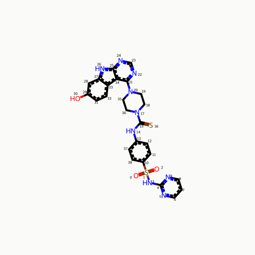 O=S(=O)(Nc1ncccn1)c1ccc(NC(=S)N2CCN(c3ncnc4[nH]c5cc(O)ccc5c34)CC2)cc1